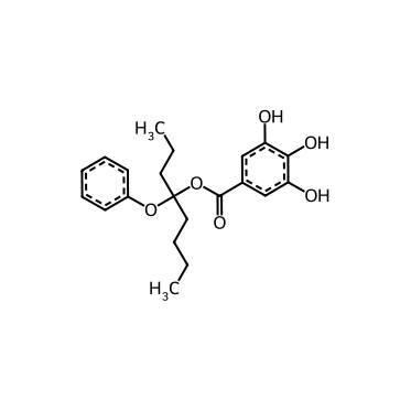 CCCCC(CCC)(OC(=O)c1cc(O)c(O)c(O)c1)Oc1ccccc1